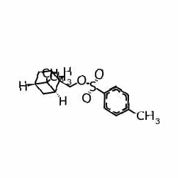 Cc1ccc(S(=O)(=O)OC[C@H]2CC[C@H]3C[C@H]2C3(C)C)cc1